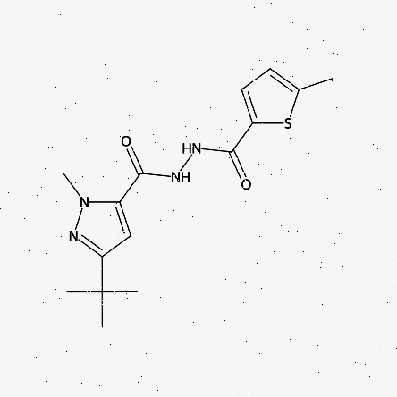 Cc1ccc(C(=O)NNC(=O)c2cc(C(C)(C)C)nn2C)s1